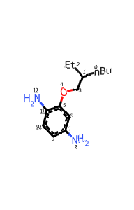 CCCCC(CC)COc1cc(N)ccc1N